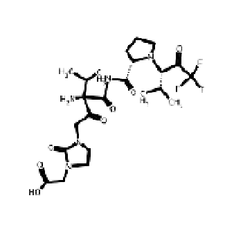 CC(C)[C@@H](C(=O)C(F)(F)F)N1CCC[C@H]1C(=O)NC(=O)[C@](N)(C(=O)CN1CCN(CC(=O)O)C1=O)C(C)C